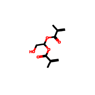 C=C(C)C(=O)OC(CO)OC(=O)C(=C)C